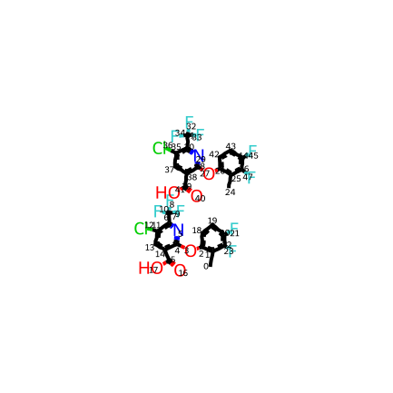 Cc1c(Oc2nc(C(F)(F)F)c(Cl)cc2C(=O)O)ccc(F)c1F.Cc1c(Oc2nc(C(F)(F)F)c(Cl)cc2C(=O)O)ccc(F)c1F